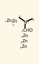 CN(C)C=O.[Zn].[Zn].[Zn].[Zn].[Zn]